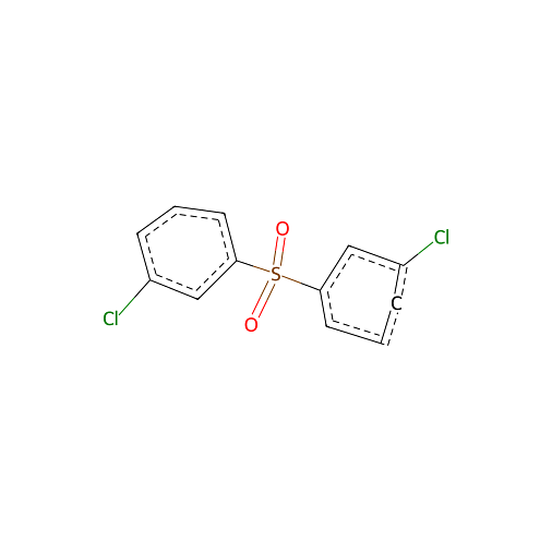 O=S(=O)(c1cccc(Cl)c1)c1cccc(Cl)c1